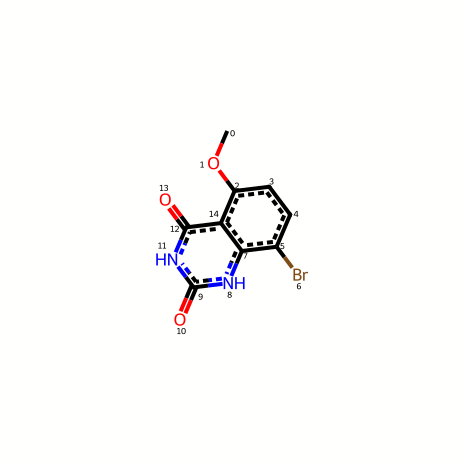 COc1ccc(Br)c2[nH]c(=O)[nH]c(=O)c12